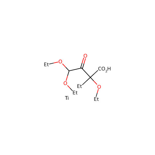 CCOC(OCC)C(=O)C(CC)(OCC)C(=O)O.[Ti]